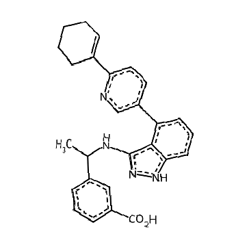 CC(Nc1n[nH]c2cccc(-c3ccc(C4=CCCCC4)nc3)c12)c1cccc(C(=O)O)c1